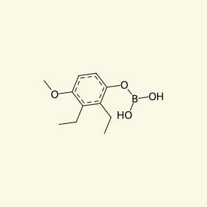 CCc1c(OC)ccc(OB(O)O)c1CC